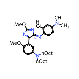 CCCCCCCCN(CCCCCCCC)c1ccc(OC)c(C2=NC(OC)=N/C2=N\c2ccc(N(C)C)cc2C)c1